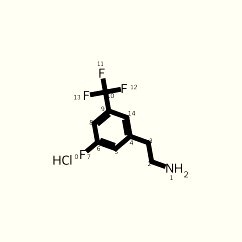 Cl.NCCc1cc(F)cc(C(F)(F)F)c1